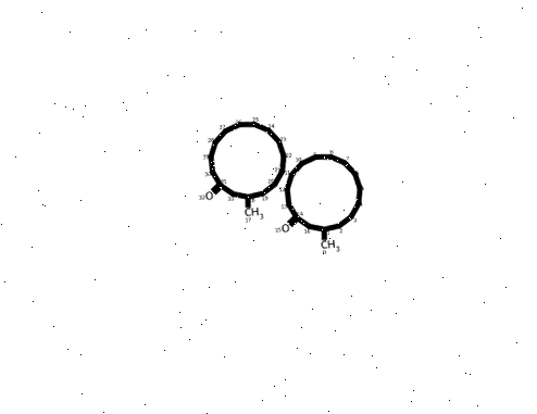 CC1CCCCCCCCCCCCC(=O)C1.CC1CCCCCCCCCCCCC(=O)C1